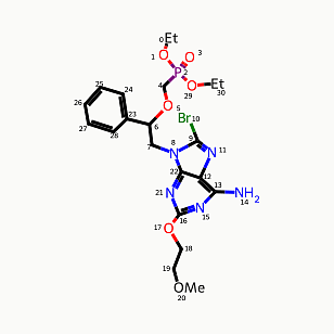 CCOP(=O)(COC(Cn1c(Br)nc2c(N)nc(OCCOC)nc21)c1ccccc1)OCC